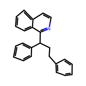 c1ccc(CCC(c2ccccc2)c2nccc3ccccc23)cc1